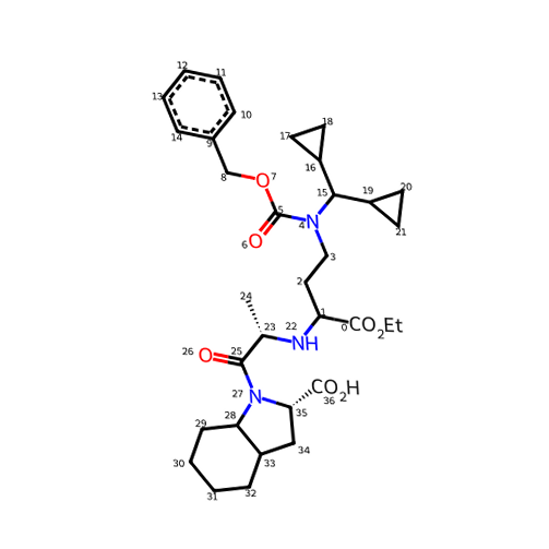 CCOC(=O)C(CCN(C(=O)OCc1ccccc1)C(C1CC1)C1CC1)N[C@@H](C)C(=O)N1C2CCCCC2C[C@H]1C(=O)O